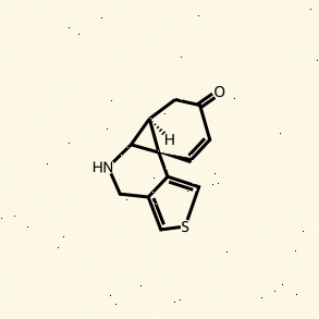 O=C1C=C[C@@]23c4cscc4CNC2[C@H]3C1